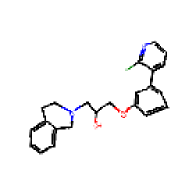 OC(COc1cccc(-c2cccnc2F)c1)CN1CCc2ccccc2C1